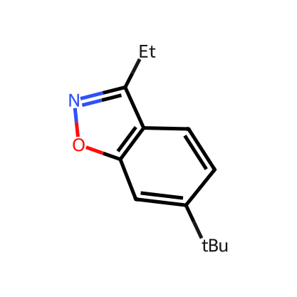 CCc1noc2cc(C(C)(C)C)ccc12